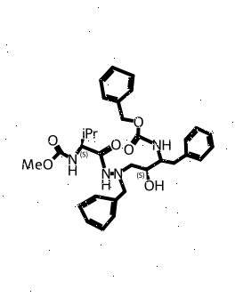 COC(=O)N[C@H](C(=O)NN(Cc1ccccc1)C[C@H](O)C(Cc1ccccc1)NC(=O)OCc1ccccc1)C(C)C